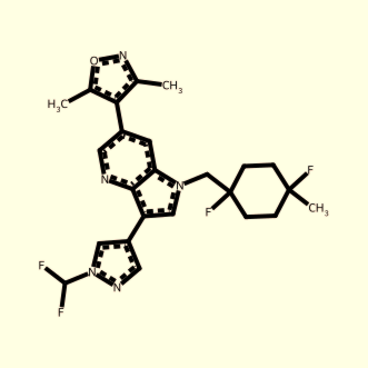 Cc1noc(C)c1-c1cnc2c(-c3cnn(C(F)F)c3)cn(CC3(F)CCC(C)(F)CC3)c2c1